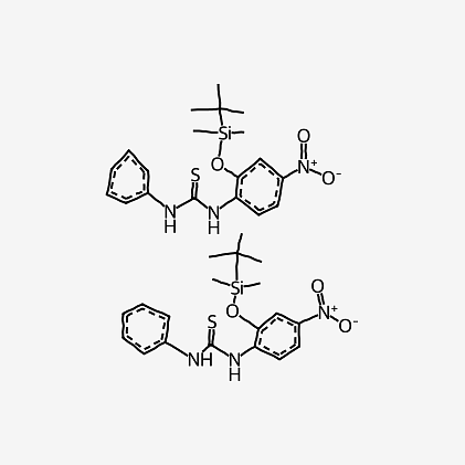 CC(C)(C)[Si](C)(C)Oc1cc([N+](=O)[O-])ccc1NC(=S)Nc1ccccc1.CC(C)(C)[Si](C)(C)Oc1cc([N+](=O)[O-])ccc1NC(=S)Nc1ccccc1